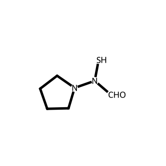 O=CN(S)N1CCCC1